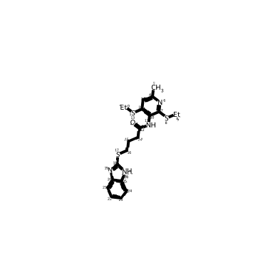 CCSc1cc(C)nc(SCC)c1NC(=O)CCCSc1nc2ccccc2[nH]1